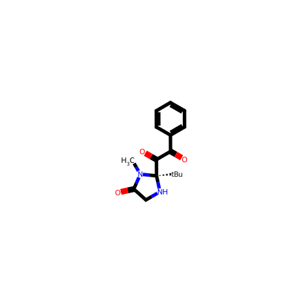 CN1C(=O)CN[C@@]1(C(=O)C(=O)c1ccccc1)C(C)(C)C